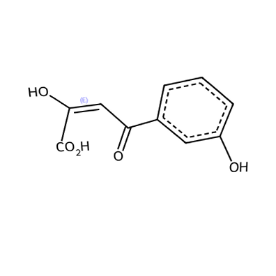 O=C(O)/C(O)=C\C(=O)c1cccc(O)c1